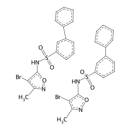 Cc1noc(NS(=O)(=O)c2cccc(-c3ccccc3)c2)c1Br.Cc1noc(NS(=O)(=O)c2cccc(-c3ccccc3)c2)c1Br